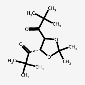 CC1(C)OC(C(=O)C(C)(C)C)[C@@H](C(=O)C(C)(C)C)O1